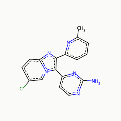 Cc1cccc(-c2nc3ccc(Cl)cn3c2-c2ccnc(N)n2)n1